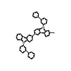 Cc1ccc2c3cc(-c4ccc5c(c4)c4ccccc4n5-c4cccc(-c5ccccc5)c4)ccc3n(-c3cccc(-c4ccccc4)c3)c2c1